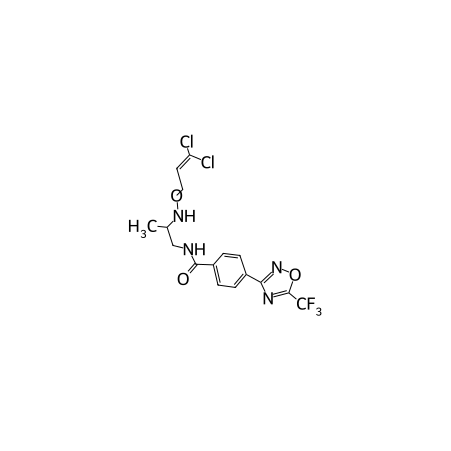 CC(CNC(=O)c1ccc(-c2noc(C(F)(F)F)n2)cc1)NOCC=C(Cl)Cl